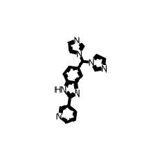 c1cncc(-c2nc3cc(C(n4ccnc4)n4ccnc4)ccc3[nH]2)c1